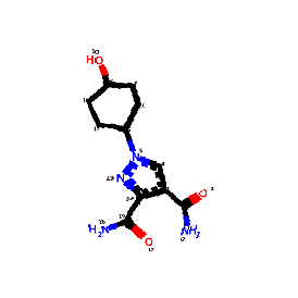 NC(=O)c1cn(C2CCC(O)CC2)nc1C(N)=O